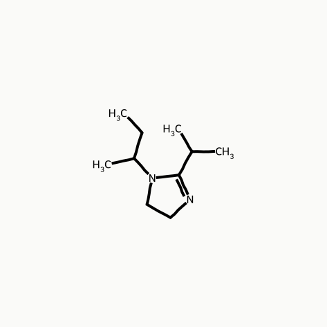 CCC(C)N1CCN=C1C(C)C